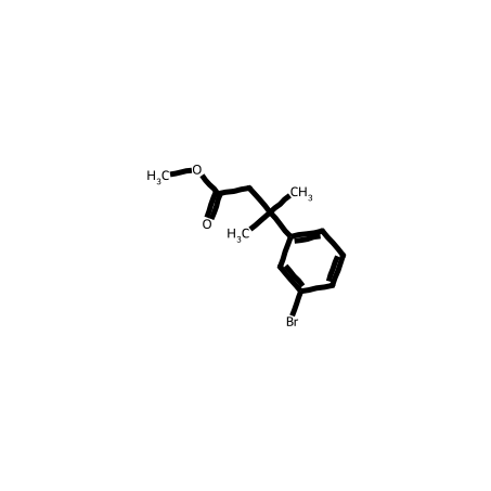 COC(=O)CC(C)(C)c1cccc(Br)c1